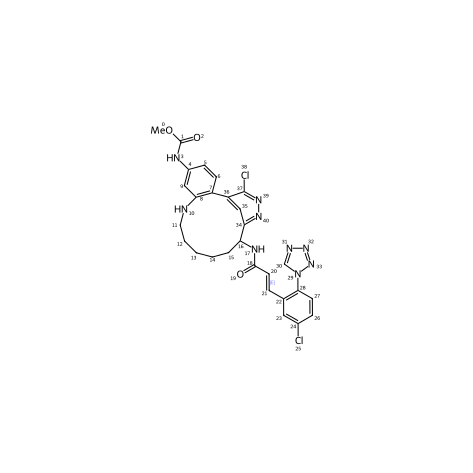 COC(=O)Nc1ccc2c(c1)NCCCCCC(NC(=O)/C=C/c1cc(Cl)ccc1-n1cnnn1)c1cc-2c(Cl)nn1